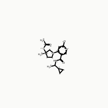 CC(NC(=O)c1cnc(Cl)cc1N1CC[C@](C)(OC(N)=O)C1)C1CC1